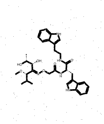 CO[C@H](/C(=N/OCC(=O)N[C@@H](Cc1c[nH]c2ccccc12)C(=O)NCCc1c[nH]c2ccccc12)[C@@H](O)[C@@H](C)O)C(C)C